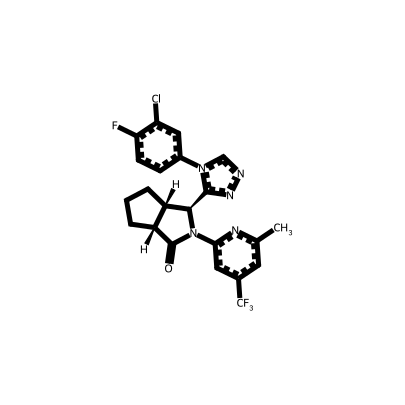 Cc1cc(C(F)(F)F)cc(N2C(=O)[C@@H]3CCC[C@@H]3[C@H]2c2nncn2-c2ccc(F)c(Cl)c2)n1